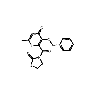 Cc1cc(=O)c(OCc2ccccc2)c(C(=O)N2CCSC2=S)o1